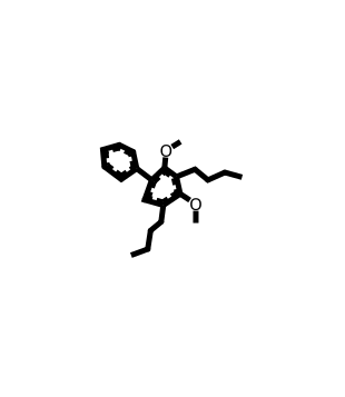 CCCCc1cc(-c2ccccc2)c(OC)c(CCCC)c1OC